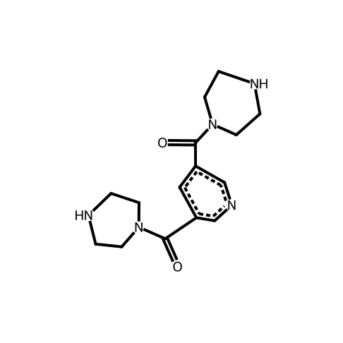 O=C(c1cncc(C(=O)N2CCNCC2)c1)N1CCNCC1